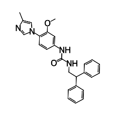 COc1cc(NC(=O)NCC(c2ccccc2)c2ccccc2)ccc1-n1cnc(C)c1